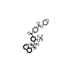 O=C(OC1CCOCC1)N1CCN(C(=O)c2ccc(NS(=O)(=O)c3cccc4cccnc34)c(OC(F)(F)F)c2)CC1